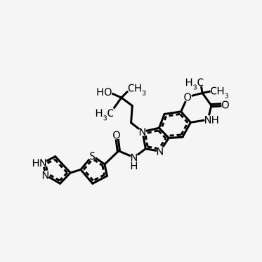 CC(C)(O)CCn1c(NC(=O)c2ccc(-c3cn[nH]c3)s2)nc2cc3c(cc21)OC(C)(C)C(=O)N3